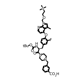 Cc1cn(COCCS(C)(C)C)c2nccc(Oc3ccc(C[C@H](NC(=O)OC(C)(C)C)C(=O)N4CCN(Cc5cccc(C(=O)O)c5)CC4)cc3F)c12